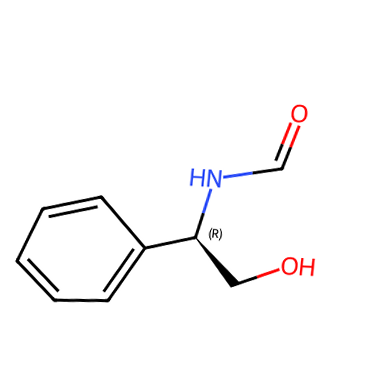 O=CN[C@@H](CO)c1ccccc1